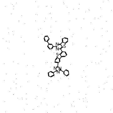 c1ccc(-c2cccc(-c3nc(-c4cccc5c4sc4ccc(-c6nc(-c7ccccc7)nc(-c7ccccc7)n6)cc45)c4sc5ccccc5c4n3)c2)cc1